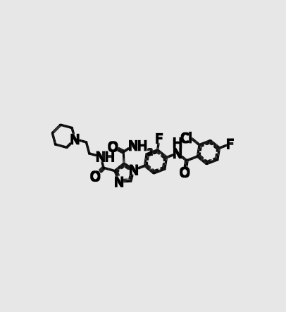 NC(=O)c1c(C(=O)NCCN2CCCCC2)ncn1-c1ccc(NC(=O)c2ccc(F)cc2Cl)c(F)c1